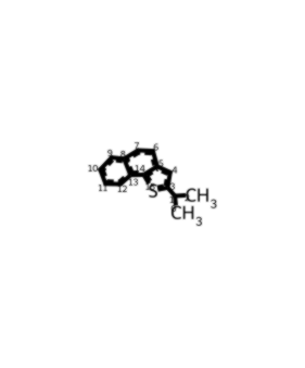 CC(C)c1cc2ccc3ccccc3c2s1